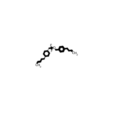 C=CCCc1ccc(COC(F)(F)C[C@H]2CC[C@H](CCC=CC)CC2)cc1